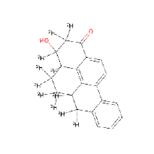 [2H]C1([2H])C(=O)c2ccc3c4c2C([2H])(C([2H])([2H])C([2H])([2H])C4([2H])C([2H])([2H])c2ccccc2-3)C1([2H])O